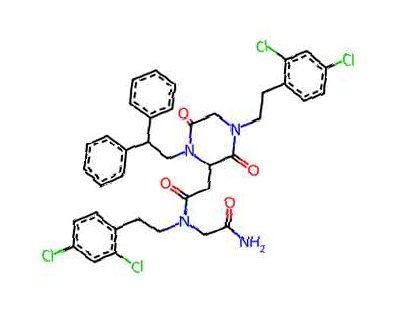 NC(=O)CN(CCc1ccc(Cl)cc1Cl)C(=O)CC1C(=O)N(CCc2ccc(Cl)cc2Cl)CC(=O)N1CC(c1ccccc1)c1ccccc1